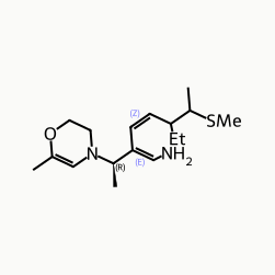 CCC(/C=C\C(=C/N)[C@@H](C)N1C=C(C)OCC1)C(C)SC